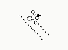 CCCCCCCCCCCCCCCC.CCCCCCCCOC(=O)c1ccccc1C(=O)O